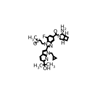 C[S+]([O-])CCn1c(-c2cc3ccc(C(C)(C)O)nc3n2CC2CC2)nc2cc(C(=O)N3C[C@H]4CC[C@H]4[C@H]3N)cc(F)c21